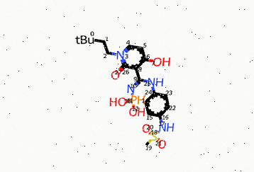 CC(C)(C)CCn1ccc(O)c(C2=N[PH](O)(O)c3cc(NS(C)(=O)=O)ccc3N2)c1=O